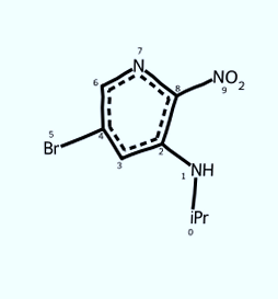 CC(C)Nc1cc(Br)cnc1[N+](=O)[O-]